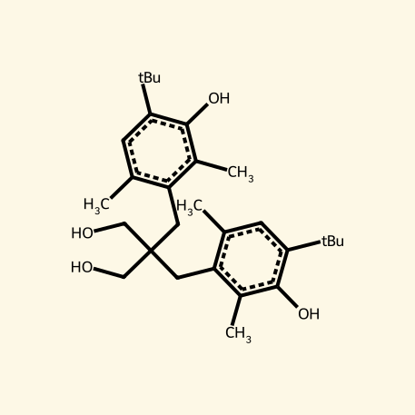 Cc1cc(C(C)(C)C)c(O)c(C)c1CC(CO)(CO)Cc1c(C)cc(C(C)(C)C)c(O)c1C